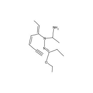 C#C/C=C\C(=C/C)N(/N=C(\CC)OCC)C(C)N